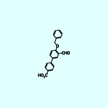 O=Cc1cc(-c2ccc(C(=O)O)cc2)ccc1OCc1ccccc1